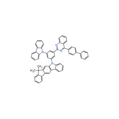 CC1(C)c2ccccc2-c2cc3c4ccccc4n(-c4cc(-c5nc(-c6ccc(-c7ccccc7)cc6)c6ccccc6n5)cc(-n5c6ccccc6c6ccccc65)c4)c3cc21